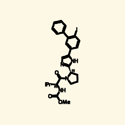 COC(=O)N[C@H](C(=O)N1CCC[C@H]1c1ncc(-c2ccc(I)c(-c3ccccc3)c2)[nH]1)C(C)C